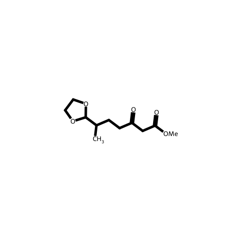 COC(=O)CC(=O)CCC(C)C1OCCO1